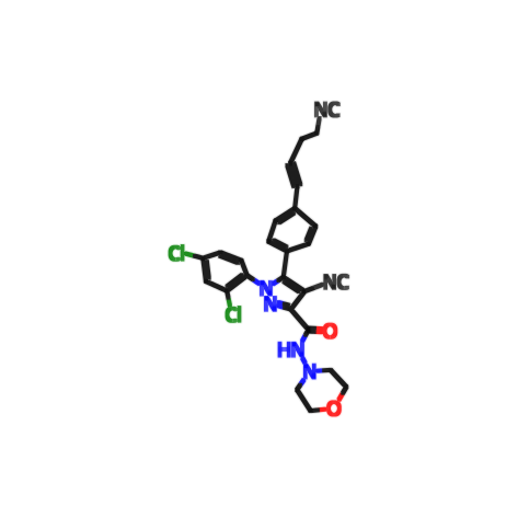 [C-]#[N+]CCC#Cc1ccc(-c2c([N+]#[C-])c(C(=O)NN3CCOCC3)nn2-c2ccc(Cl)cc2Cl)cc1